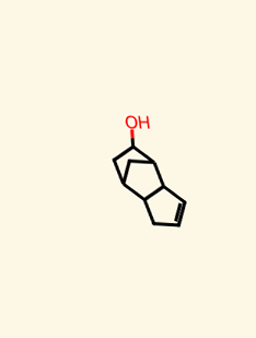 OC1CC2CC1C1C=CCC21